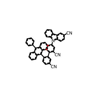 N#Cc1ccc(-c2c3ccccc3c(-c3ccccc3)c3ccccc23)c(-c2ccc(-n3c4ccccc4c4cc(C#N)ccc43)cc2C#N)c1